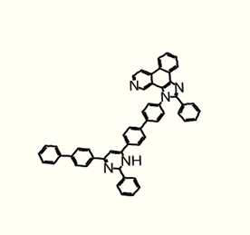 C1=C(c2ccc(-c3ccc(-n4c(-c5ccccc5)nc5c6ccccc6c6ccncc6c54)cc3)cc2)NC(c2ccccc2)N=C1c1ccc(-c2ccccc2)cc1